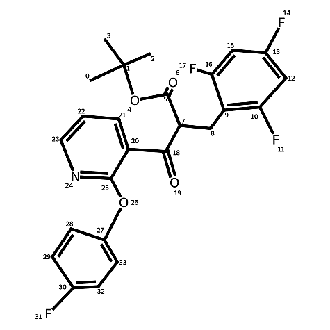 CC(C)(C)OC(=O)C(Cc1c(F)cc(F)cc1F)C(=O)c1cccnc1Oc1ccc(F)cc1